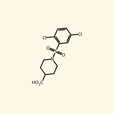 O=C(O)C1CCN(S(=O)(=O)c2cc(Cl)ccc2Cl)CC1